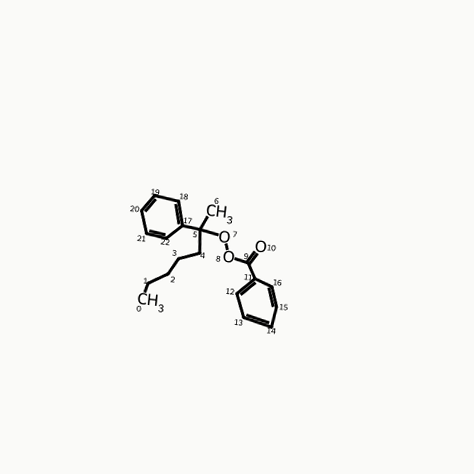 CCCCCC(C)(OOC(=O)c1ccccc1)c1ccccc1